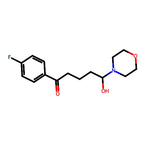 O=C(CCCC(O)N1CCOCC1)c1ccc(F)cc1